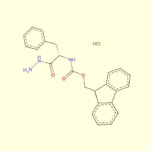 Cl.NNC(=O)[C@H](Cc1ccccc1)NC(=O)OCC1c2ccccc2-c2ccccc21